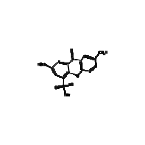 CCCCCCCCc1cc(S(=O)(=O)CCC)c2oc3ccc(C(=O)O)cc3c(=O)c2c1